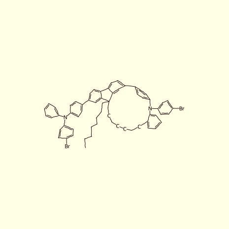 CCCCCCCCC12CCCCCCCc3ccccc3N(c3ccc(Br)cc3)c3ccc(cc3)-c3ccc(c1c3)-c1ccc(-c3ccc(N(c4ccccc4)c4ccc(Br)cc4)cc3)cc12